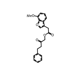 COc1cccc2c(CC(=O)OCC(=O)CCc3ccccc3)coc12